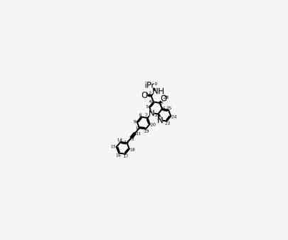 CC(C)NC(=O)c1cn(-c2ccc(C#Cc3ccccc3)cc2)c2ncccc2c1=O